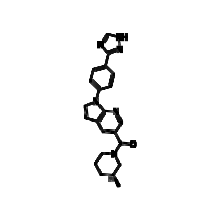 C[C@H]1CCCN(C(=O)c2cnc3c(ccn3-c3ccc(-c4nc[nH]n4)cc3)c2)C1